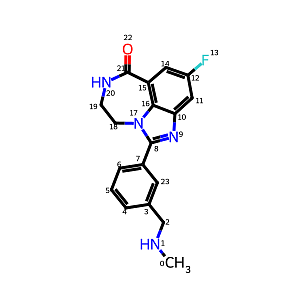 CNCc1cccc(-c2nc3cc(F)cc4c3n2CCNC4=O)c1